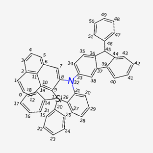 C1=Cc2cccc3cc4c(c(c23)C1)[Si](c1ccccc1)(c1ccccc1)c1ccccc1N4c1ccc2c(c1)-c1ccccc1C2c1ccccc1